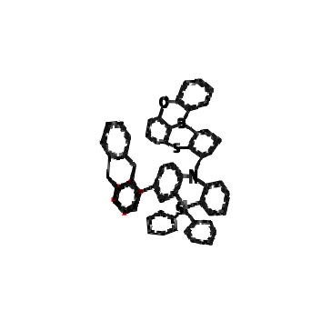 c1ccc([Si]2(c3ccccc3)c3ccccc3N(c3cccc4c3Sc3cccc5c3B4c3ccccc3O5)c3ccc(-c4cccc5c4C4c6ccccc6C5c5ccccc54)cc32)cc1